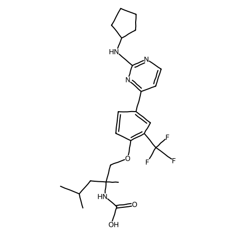 CC(C)CC(C)(COc1ccc(-c2ccnc(NC3CCCC3)n2)cc1C(F)(F)F)NC(=O)O